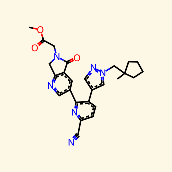 COC(=O)CN1Cc2ncc(-c3nc(C#N)ccc3-c3cnn(CC4(C)CCCC4)c3)cc2C1=O